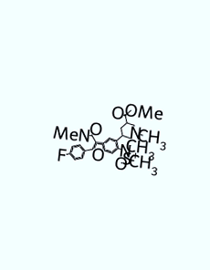 CNC(=O)c1c(-c2ccc(F)cc2)oc2cc(N(C)[S+](C)[O-])c(C3CC(C(=O)OC)CN(C)C3)cc12